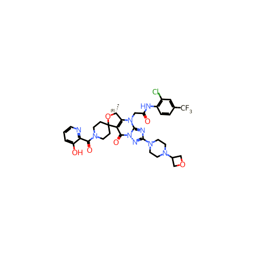 C[C@H]1OC2(CCN(C(=O)c3ncccc3O)CC2)c2c1n(CC(=O)Nc1ccc(C(F)(F)F)cc1Cl)c1nc(N3CCN(C4COC4)CC3)nn1c2=O